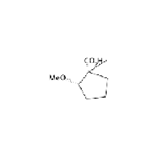 CO[C@H]1CCC[C@@]1(C)C(=O)O